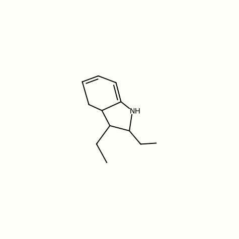 CCC1NC2=CC=CCC2C1CC